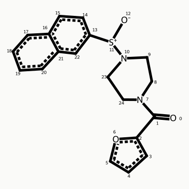 O=C(c1ccco1)N1CCN([S+]([O-])c2ccc3ccccc3c2)CC1